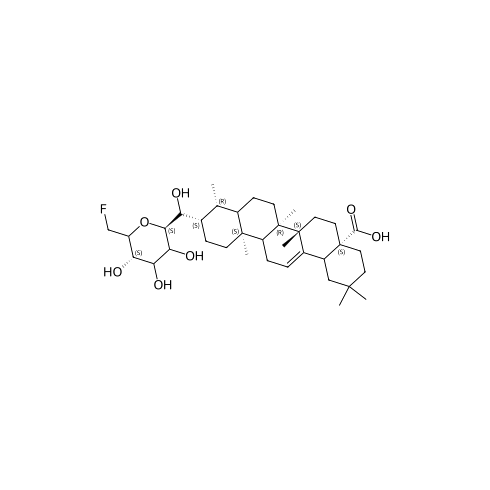 C[C@@H]1C2CC[C@]3(C)C(CC=C4C5CC(C)(C)CC[C@]5(C(=O)O)CC[C@]43C)[C@@]2(C)CC[C@@H]1C(O)[C@@H]1OC(CF)[C@@H](O)C(O)C1O